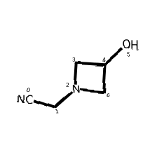 N#CCN1CC(O)C1